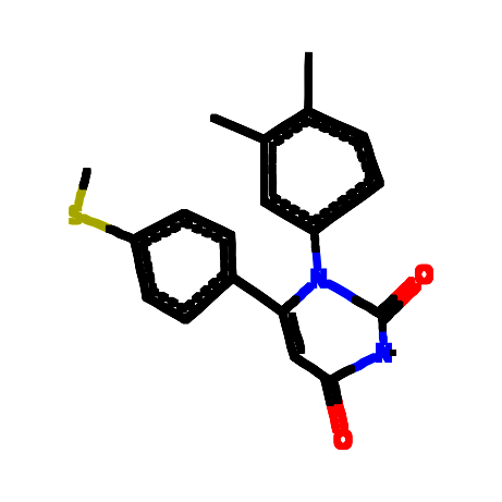 CSc1ccc(C2=CC(=O)[N]C(=O)N2c2ccc(C)c(C)c2)cc1